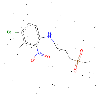 Cc1c(Br)ccc(NCCCS(C)(=O)=O)c1[N+](=O)[O-]